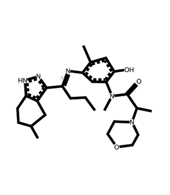 CCC/C(=N\c1cc(N(C)C(=O)C(C)N2CCOCC2)c(O)cc1C)c1n[nH]c2c1CC(C)CC2